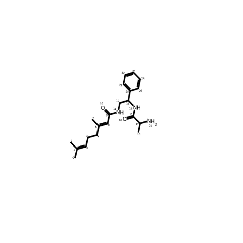 CC(C)=CCC/C(C)=C/C(=O)NCC(NC(=O)C(C)N)c1ccccc1